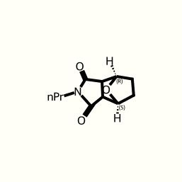 CCCN1C(=O)C2C(C1=O)[C@H]1CC[C@@H]2O1